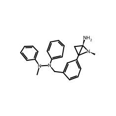 CN(c1ccccc1)N(Cc1cccc(C23C[C@]2(N)[N@@]3C)c1)c1ccccc1